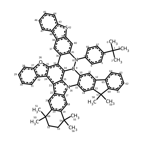 CC(C)(C)c1ccc(N2B3c4cc5c(cc4-n4c6cc7c(cc6c6c8c(oc9ccccc98)c(c3c64)-c3cc4c(cc32)sc2ccccc24)C(C)(C)CCC7(C)C)C(C)(C)c2ccccc2-5)cc1